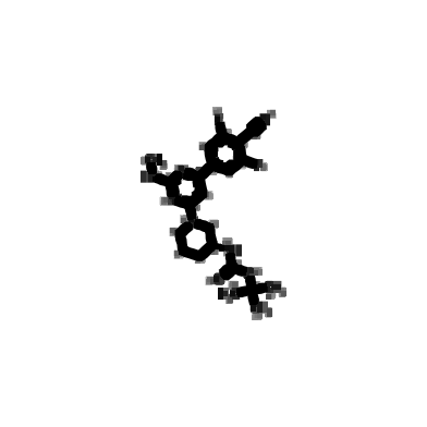 CNc1nc(-c2cc(F)c(C#N)c(F)c2)cc(N2CCC[C@@H](NC(=O)OC(C)(C)C)C2)n1